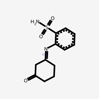 NS(=O)(=O)c1ccccc1/N=C1\CCCC(=O)C1